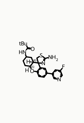 CC(C)(C)C(=O)NC1CC[C@@H]2Oc3ccc(-c4cncc(F)c4)cc3C3(CSC(N)=N3)[C@H]2C1